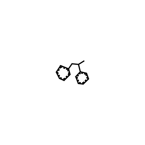 CC(Cc1[c]cccc1)c1[c]cccc1